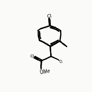 COC(=O)C(Cl)c1ccc(Cl)cc1C